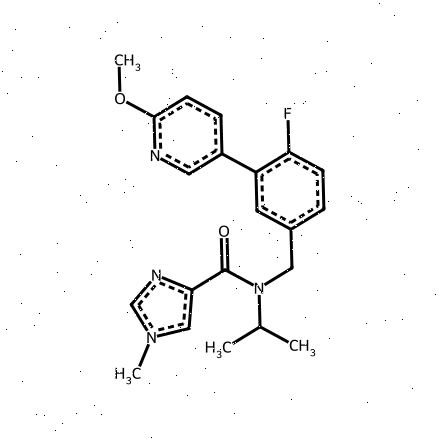 COc1ccc(-c2cc(CN(C(=O)c3cn(C)cn3)C(C)C)ccc2F)cn1